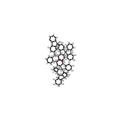 CC1(C)c2ccccc2-c2ccc(N(c3ccccc3-c3ccc4c(c3)C3(c5ccccc5-4)c4ccccc4-n4c5ccccc5c5cccc3c54)c3cccc4c3-c3ccccc3C43c4ccccc4-c4ccccc43)cc21